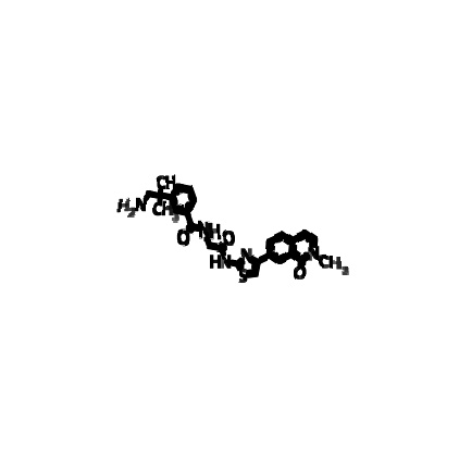 Cn1ccc2ccc(-c3csc(NC(=O)CNC(=O)c4cccc(C(C)(C)CN)c4)n3)cc2c1=O